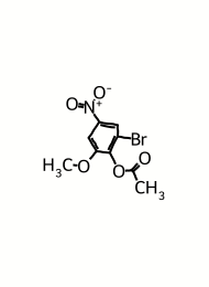 COc1cc([N+](=O)[O-])cc(Br)c1OC(C)=O